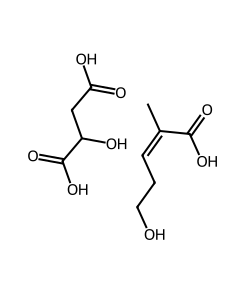 CC(=CCCO)C(=O)O.O=C(O)CC(O)C(=O)O